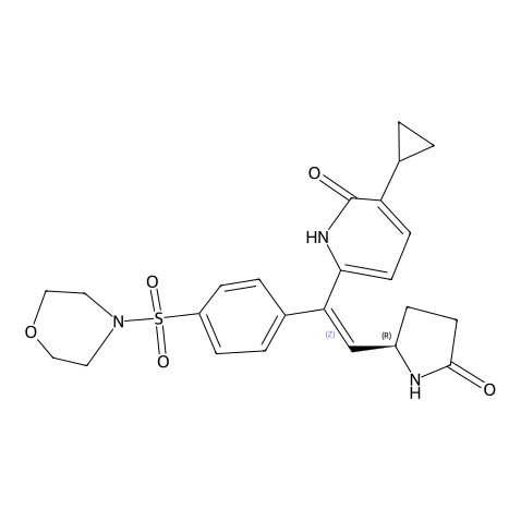 O=C1CC[C@H](/C=C(/c2ccc(S(=O)(=O)N3CCOCC3)cc2)c2ccc(C3CC3)c(=O)[nH]2)N1